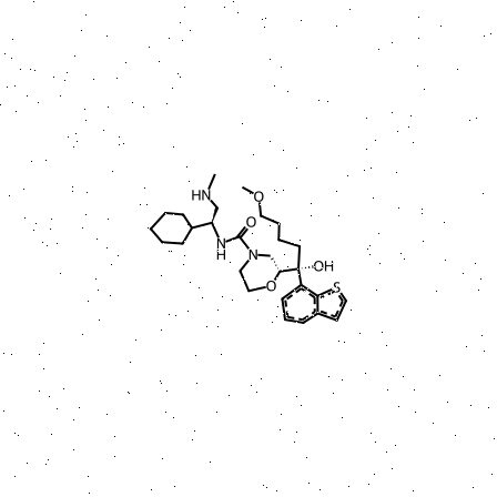 CNC[C@@H](NC(=O)N1CCO[C@@H]([C@@](O)(CCCCOC)c2cccc3ccsc23)C1)C1CCCCC1